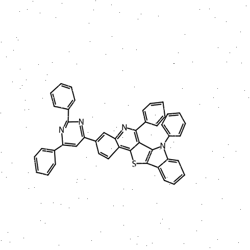 c1ccc(-c2cc(-c3ccc4c(c3)nc(-c3ccccc3)c3c4sc4c5ccccc5n(-c5ccccc5)c43)nc(-c3ccccc3)n2)cc1